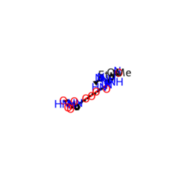 CCn1nc(C2CC2)cc1Nc1nc(C(=O)NCCCOCCOCCOCCCNc2cccc3c2C(=O)N(C2CCC(=O)NC2=O)C3=O)nc2[nH]c3cc(-c4c(C)noc4C)c(OC)cc3c12